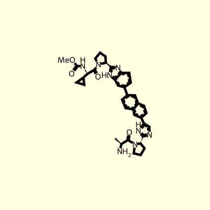 COC(=O)N[C@H](C(=O)N1CCC[C@H]1c1nc2ccc(-c3ccc4cc(-c5cnc([C@@H]6CCCN6C(=O)[C@H](C)N)[nH]5)ccc4c3)cc2[nH]1)C1CC1